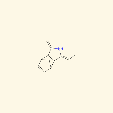 C=C1N/C(=C\C)C2C3C=CC(C3)C12